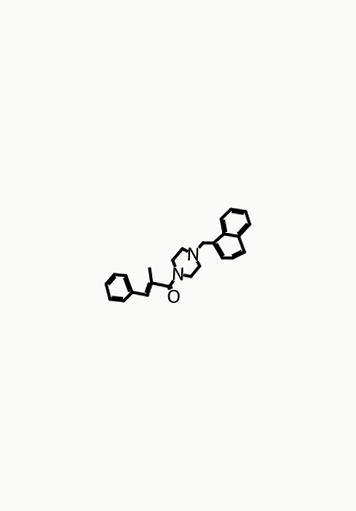 C/C(=C\c1ccccc1)C(=O)N1CCN(Cc2cccc3ccccc23)CC1